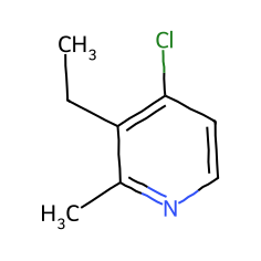 CCc1c(Cl)ccnc1C